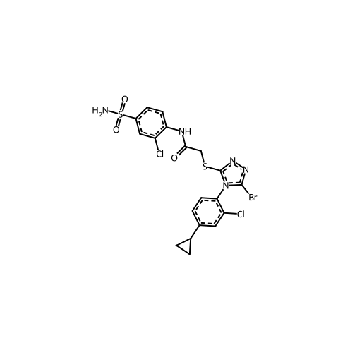 NS(=O)(=O)c1ccc(NC(=O)CSc2nnc(Br)n2-c2ccc(C3CC3)cc2Cl)c(Cl)c1